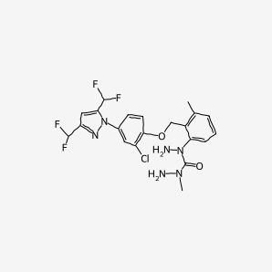 Cc1cccc(N(N)C(=O)N(C)N)c1COc1ccc(-n2nc(C(F)F)cc2C(F)F)cc1Cl